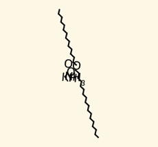 CCCCCCCCCCCCCCCCCC(=O)OC(=O)CCCCCCCCCCCCC.N.[KH]